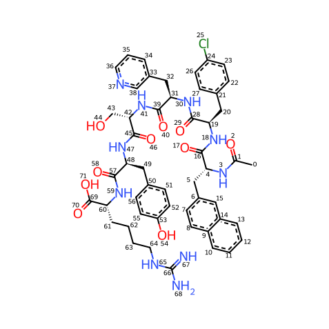 CC(=O)N[C@H](Cc1ccc2ccccc2c1)C(=O)N[C@H](Cc1ccc(Cl)cc1)C(=O)N[C@H](Cc1cccnc1)C(=O)N[C@@H](CO)C(=O)N[C@@H](Cc1ccc(O)cc1)C(=O)N[C@H](CCCCNC(=N)N)C(=O)O